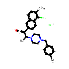 CCCCC(C(=C=O)c1ccc2c(Cl)c(OC)ccc2c1)N1CCN(Cc2ccc([N+](=O)[O-])cc2)CC1.Cl